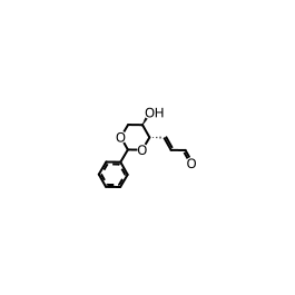 O=C/C=C/[C@@H]1OC(c2ccccc2)OC[C@H]1O